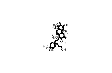 CC1C(=O)C=C2[C@@]3(C)C=C(C#N)C(=O)C(C)(C)[C@@H]3CC[C@@]2(C)[C@]1(C)CCC1(CCCO)CCC(C)(C)CC1